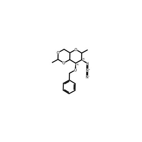 CC1OCC2OC(C)[C@@H](N=[N+]=[N-])[C@@H](OCc3ccccc3)C2O1